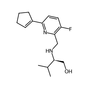 CC(C)[C@H](CO)NCc1nc(C2=CCCC2)ccc1F